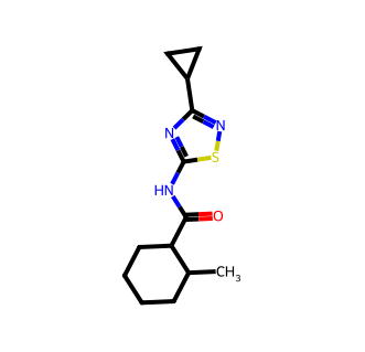 CC1CCCCC1C(=O)Nc1nc(C2CC2)ns1